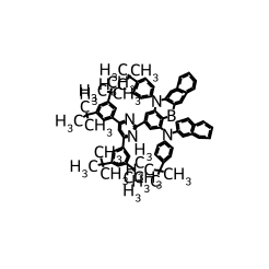 CC(C)(C)c1ccc(N2c3cc4ccccc4cc3B3c4cc5ccccc5cc4N(c4ccc(C(C)(C)C)cc4)c4cc(-c5nc(-c6cc(C(C)(C)C)cc(C(C)(C)C)c6)cc(-c6cc(C(C)(C)C)cc(C(C)(C)C)c6)n5)cc2c43)cc1